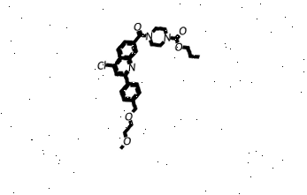 CCCOC(=O)N1CCN(C(=O)c2ccc3c(Cl)cc(-c4ccc(COCCOC)cc4)nc3c2)CC1